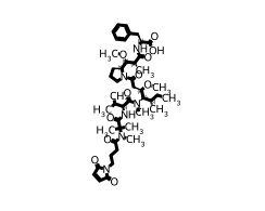 CC[C@H](C)[C@@H]([C@@H](CC(=O)N1CCC[C@H]1[C@H](OC)[C@@H](C)C(=O)N[C@@H](Cc1ccccc1)C(=O)O)OC)N(C)C(=O)[C@@H](NC(=O)C(C)(C)N(C)C(=O)CCCN1C(=O)C=CC1=O)C(C)C